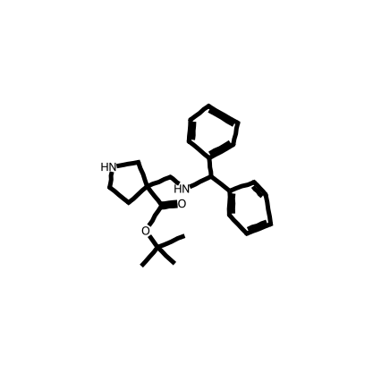 CC(C)(C)OC(=O)C1(CNC(c2ccccc2)c2ccccc2)CCNC1